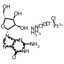 N.N.Nc1nc2c(ncn2[C@@H]2O[C@H](CO)[C@@H](O)[C@H]2O)c(=O)[nH]1.[Cl-].[Cl-].[Cl-].[Cl][Pt+3]